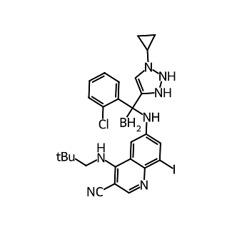 BC(Nc1cc(I)c2ncc(C#N)c(NCC(C)(C)C)c2c1)(C1=CN(C2CC2)NN1)c1ccccc1Cl